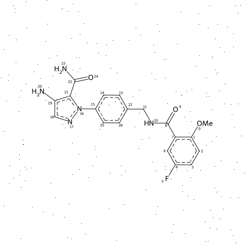 COc1ccc(F)cc1C(=O)NCc1ccc(-n2ncc(N)c2C(N)=O)cc1